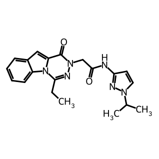 CCc1nn(CC(=O)Nc2ccn(C(C)C)n2)c(=O)c2cc3ccccc3n12